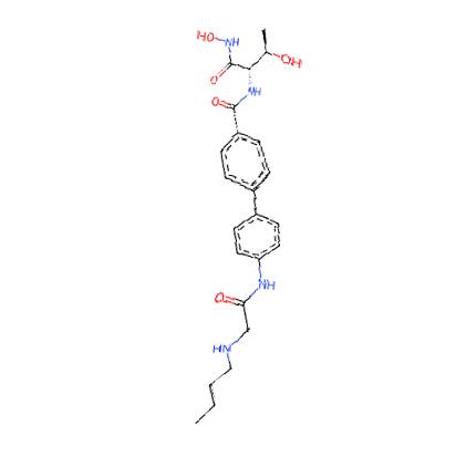 CCCCNCC(=O)Nc1ccc(-c2ccc(C(=O)N[C@H](C(=O)NO)[C@@H](C)O)cc2)cc1